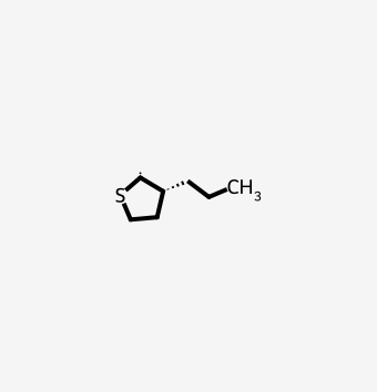 CCC[C@H]1[CH]SCC1